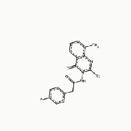 CCc1nc2c(C)cccc2c(=O)n1NC(=O)Cc1ccc(F)cc1